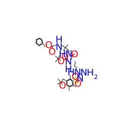 Cc1c(C)c(S(=O)(=O)/N=C(/N)NCCC[C@H](NC(=O)OC(C)(C)C)C(=O)NCC(C)(C)CNCC(=O)OCc2ccccc2)c(C)c2c1OC(C)(C)C2